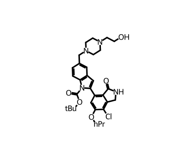 CCCOc1cc(-c2cc3cc(CN4CCN(CCO)CC4)ccc3n2C(=O)OC(C)(C)C)c2c(c1Cl)CNC2=O